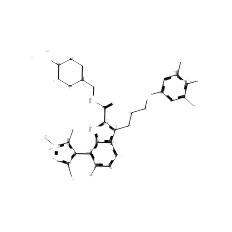 Cc1cc(OCCCc2c(C(=O)NCC3CCC(C(=O)O)CC3)[nH]c3c(-c4c(C)nn(C)c4C)c(Cl)ccc23)cc(C)c1Cl